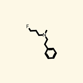 CN(CCCF)CCc1ccccc1